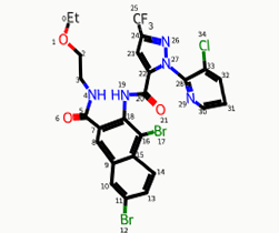 CCOCCNC(=O)c1cc2cc(Br)ccc2c(Br)c1NC(=O)c1cc(C(F)(F)F)nn1-c1ncccc1Cl